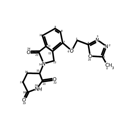 Cc1nnc(COc2cccc3c2CN(C2CCC(=O)NC2=O)C3=O)o1